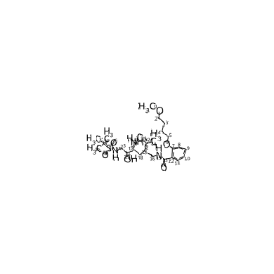 COCCCCOc1ccccc1C(=O)NC[C@@H](C[C@H](N)[C@@H](O)CNS(=O)(=O)C(C)(C)C)C(C)C